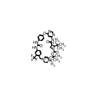 CN1CCN(Cc2ccc(NC(=O)Nc3ccc(Oc4cc(NC(=O)C5CN(C(=O)OC(C)(C)C)C5C(C)(C)C)ncn4)cc3)cc2C(F)(F)F)CC1